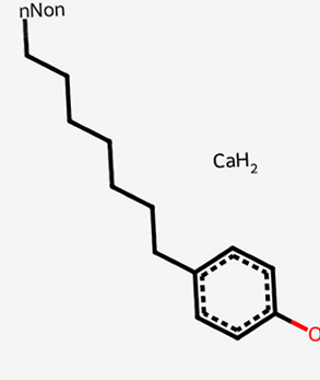 CCCCCCCCCCCCCCCCc1ccc(O)cc1.[CaH2]